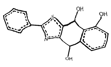 Oc1cccc2c1C(O)c1sc(-c3ccccc3)nc1C2O